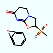 CS(=O)(=O)C1CN2CCC(=O)N=C2O1.c1ccc2c(c1)O2